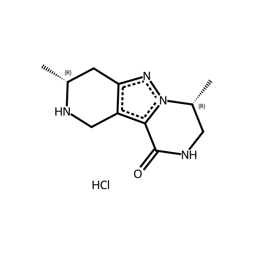 C[C@@H]1Cc2nn3c(c2CN1)C(=O)NC[C@H]3C.Cl